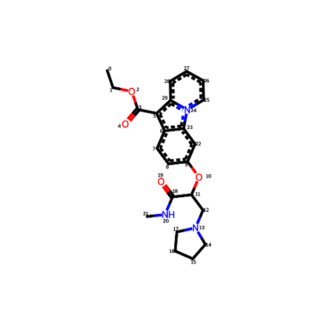 CCOC(=O)c1c2ccc(OC(CN3CCCC3)C(=O)NC)cc2n2ccccc12